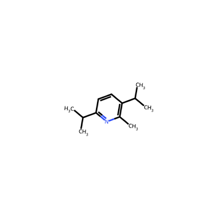 Cc1nc(C(C)C)ccc1C(C)C